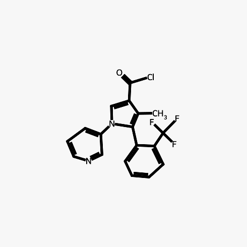 Cc1c(C(=O)Cl)cn(-c2cccnc2)c1-c1ccccc1C(F)(F)F